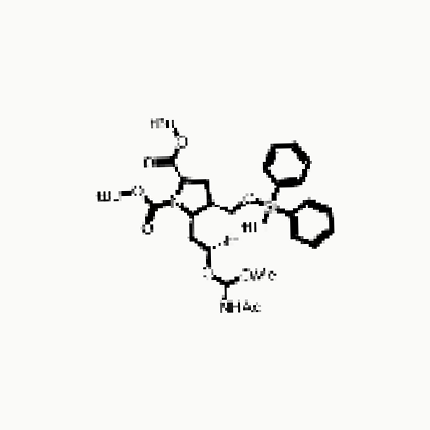 CC[C@@H](C[C@@H]1[C@H](CO[Si](c2ccccc2)(c2ccccc2)C(C)(C)C)C[C@H](C(=O)OC(C)(C)C)N1C(=O)OC(C)(C)C)O[C@H](NC(C)=O)OC